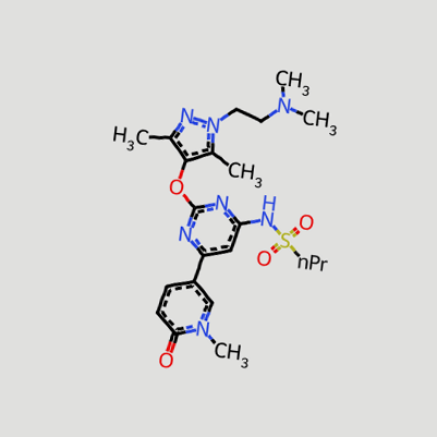 CCCS(=O)(=O)Nc1cc(-c2ccc(=O)n(C)c2)nc(Oc2c(C)nn(CCN(C)C)c2C)n1